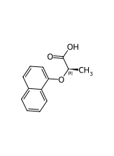 C[C@@H](Oc1cccc2ccccc12)C(=O)O